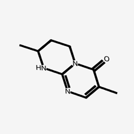 Cc1cnc2n(c1=O)CCC(C)N2